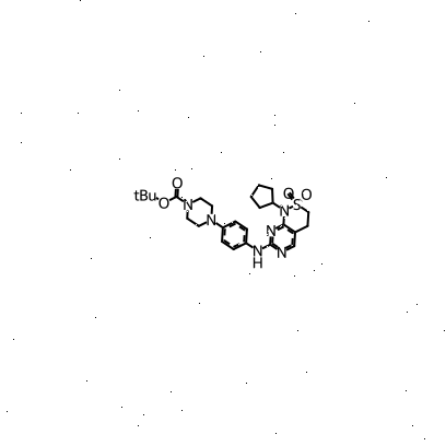 CC(C)(C)OC(=O)N1CCN(c2ccc(Nc3ncc4c(n3)N(C3CCCC3)S(=O)(=O)CC4)cc2)CC1